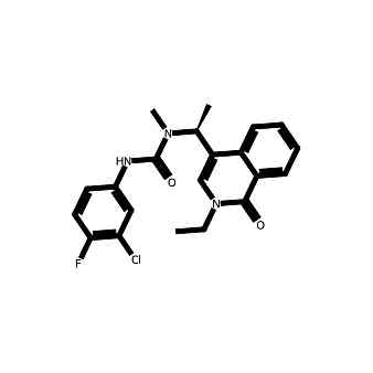 CCn1cc([C@H](C)N(C)C(=O)Nc2ccc(F)c(Cl)c2)c2ccccc2c1=O